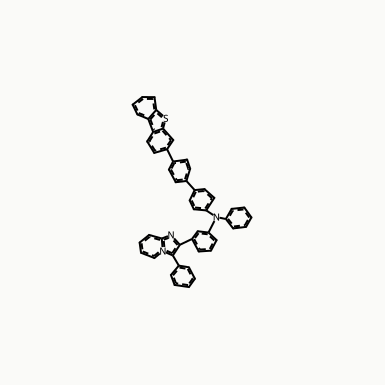 c1ccc(-c2c(-c3cccc(N(c4ccccc4)c4ccc(-c5ccc(-c6ccc7c(c6)sc6ccccc67)cc5)cc4)c3)nc3ccccn23)cc1